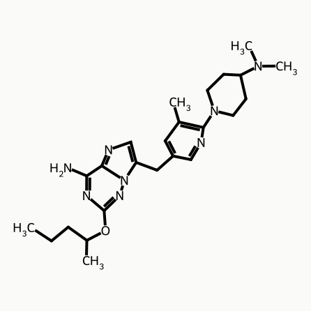 CCCC(C)Oc1nc(N)c2ncc(Cc3cnc(N4CCC(N(C)C)CC4)c(C)c3)n2n1